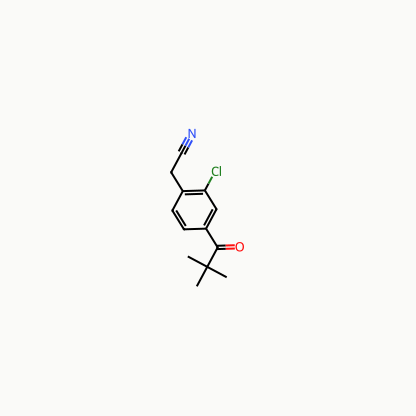 CC(C)(C)C(=O)c1ccc(CC#N)c(Cl)c1